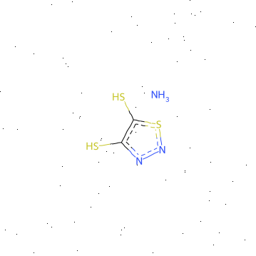 N.Sc1nnsc1S